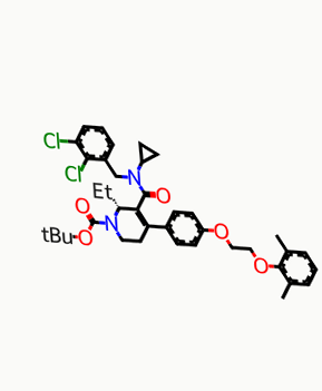 CC[C@@H]1C(C(=O)N(Cc2cccc(Cl)c2Cl)C2CC2)=C(c2ccc(OCCOc3c(C)cccc3C)cc2)CCN1C(=O)OC(C)(C)C